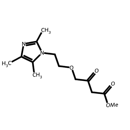 COC(=O)CC(=O)COCCn1c(C)nc(C)c1C